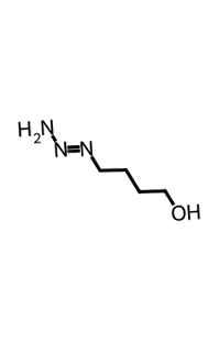 NN=NCCCCO